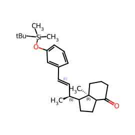 C[C@@H](/C=C/c1cccc(O[Si](C)(C)C(C)(C)C)c1)C1CCC2C(=O)CCC[C@@]21C